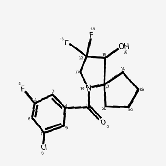 O=C(c1cc(F)cc(Cl)c1)N1CC(F)(F)C(O)C12CCCC2